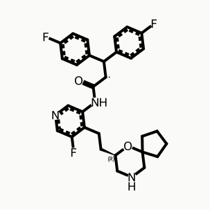 O=C([CH]C(c1ccc(F)cc1)c1ccc(F)cc1)Nc1cncc(F)c1CC[C@@H]1CNCC2(CCCC2)O1